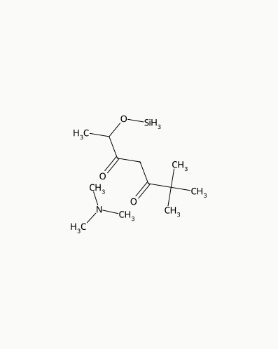 CC(O[SiH3])C(=O)CC(=O)C(C)(C)C.CN(C)C